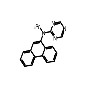 CC(C)N(c1ncncn1)c1cc2ccccc2c2ccccc12